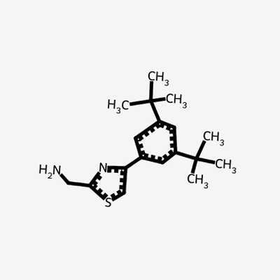 CC(C)(C)c1cc(-c2csc(CN)n2)cc(C(C)(C)C)c1